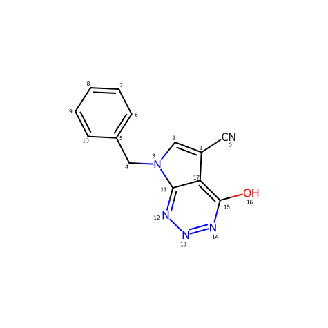 N#Cc1cn(Cc2ccccc2)c2nnnc(O)c12